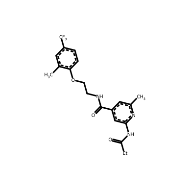 CCC(=O)Nc1cc(C(=O)NCCOc2ccc(C(F)(F)F)cc2C)cc(C)n1